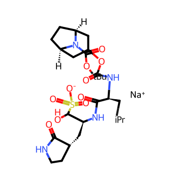 CC(C)C[C@H](NC(=O)OC1C[C@H]2CC[C@@H](C1)N2C(=O)OC(C)(C)C)C(=O)N[C@@H](C[C@@H]1CCNC1=O)C(O)S(=O)(=O)[O-].[Na+]